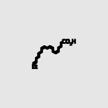 CC/C=C/C/C=C/C/C=C\C/C=C\C/C=C\CCCC(=O)O